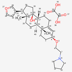 C[C@]12CC[C@H](OCCN3CCCC3)C=C1CC[C@@H]1[C@@H]2CC[C@]2(C)[C@@H](c3ccoc3)CC[C@]12O.O=C(O)C(=O)O